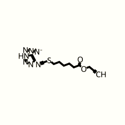 C#CCOC(=O)CCCCCSC#N.[N-]=[N+]=[N-].c1c[nH]nn1